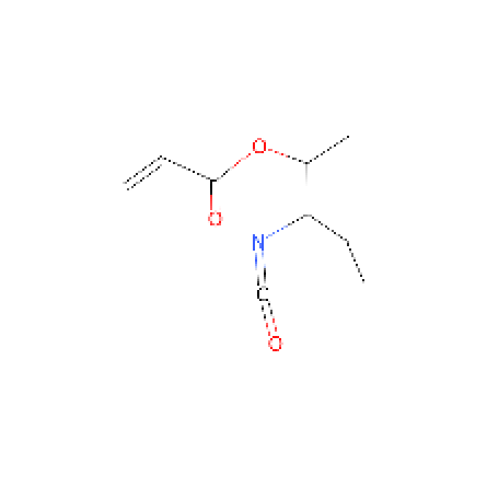 C=CC(=O)OC(C)C(CC)N=C=O